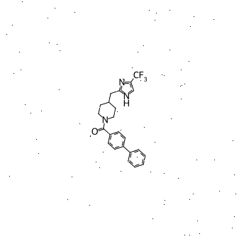 O=C(c1ccc(-c2ccccc2)cc1)N1CCC(Cc2nc(C(F)(F)F)c[nH]2)CC1